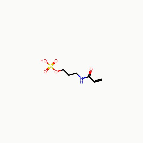 C=CC(=O)NCCCOS(=O)(=O)O